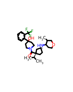 CC1COCCC1N[C@@H]1CC[C@@](C(=O)N2CCC(O)(c3ccccc3C(F)(F)F)CC2)(C(C)C)C1